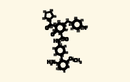 COc1ccnc(N)c1-c1ccc(NC(=O)c2cn(Cc3ccc(F)cc3)cc(C(=O)N3CCCC3)c2=O)cc1